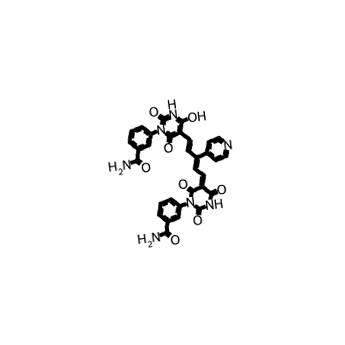 NC(=O)c1cccc(N2C(=O)NC(=O)C(=CC=C(C=Cc3c(O)[nH]c(=O)n(-c4cccc(C(N)=O)c4)c3=O)c3ccncc3)C2=O)c1